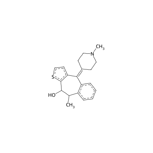 CC1c2ccccc2C(=C2CCN(C)CC2)c2ccsc2C1O